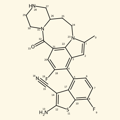 Cc1cc2c(-c3ccc(F)c4sc(N)c(C#N)c34)c(F)cc3c2n1CCC1CNCCN1C3=O